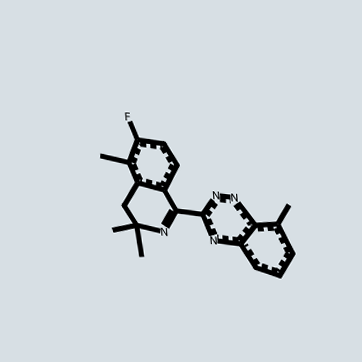 Cc1c(F)ccc2c1CC(C)(C)N=C2c1nnc2c(C)cccc2n1